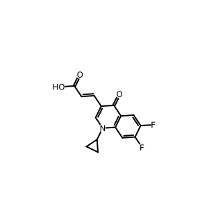 O=C(O)/C=C/c1cn(C2CC2)c2cc(F)c(F)cc2c1=O